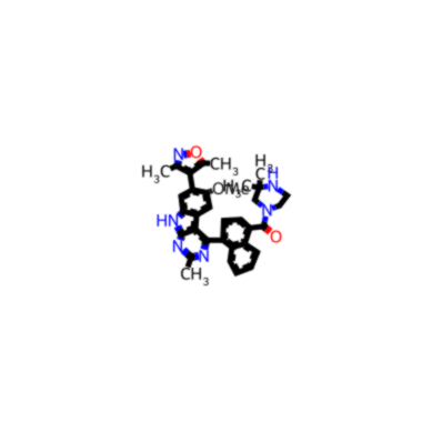 COc1cc2c(cc1-c1c(C)noc1C)[nH]c1nc(C)nc(-c3ccc(C(=O)N4CCNC(C)(C)C4)c4ccccc34)c12